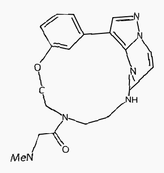 CNCC(=O)N1CCNc2ccn3ncc(c3n2)-c2cccc(c2)OCC1